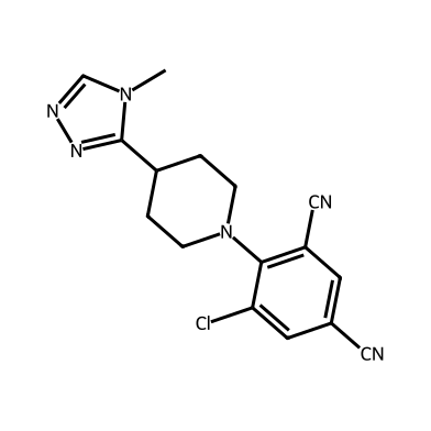 Cn1cnnc1C1CCN(c2c(Cl)cc(C#N)cc2C#N)CC1